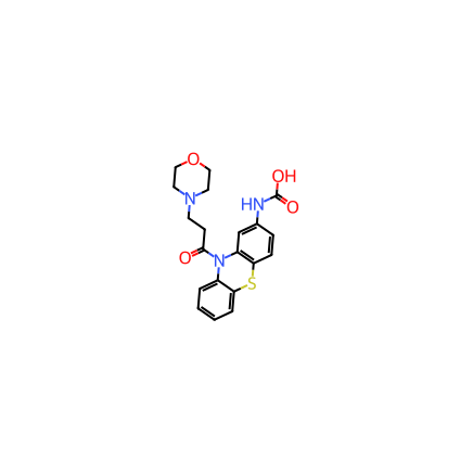 O=C(O)Nc1ccc2c(c1)N(C(=O)CCN1CCOCC1)c1ccccc1S2